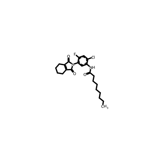 CCCCCCCCC(=O)Nc1cc(N2C(=O)C3=C(CCCC3)C2=O)c(F)cc1Cl